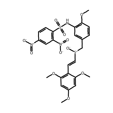 COc1cc(OC)c(/C=C/[S+]([O-])Cc2ccc(OC)c(NS(=O)(=O)c3ccc([N+](=O)[O-])cc3[N+](=O)[O-])c2)c(OC)c1